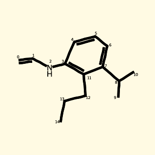 C=CNc1cccc(C(C)C)c1CCC